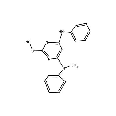 CN(c1ccccc1)c1nc(Nc2ccccc2)nc(OC#N)n1